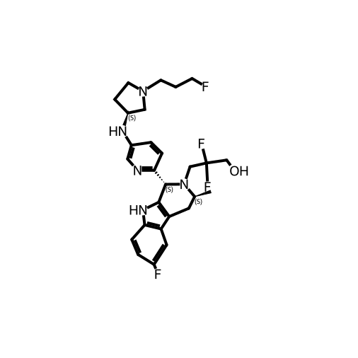 C[C@H]1Cc2c([nH]c3ccc(F)cc23)[C@H](c2ccc(N[C@H]3CCN(CCCF)C3)cn2)N1CC(F)(F)CO